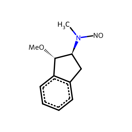 CO[C@H]1c2ccccc2C[C@@H]1N(C)N=O